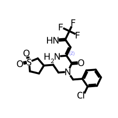 N=C(/C=C(\N)C(=O)N(CCC1CCS(=O)(=O)C1)Cc1ccccc1Cl)C(F)(F)F